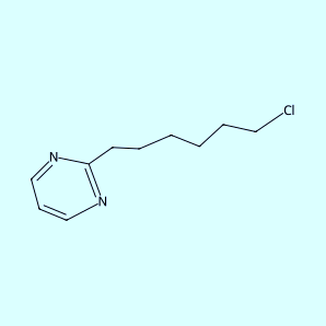 ClCCCCCCc1ncccn1